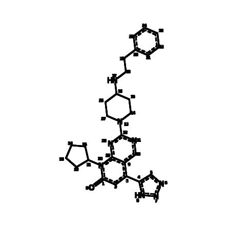 O=c1cc(-c2cnn[nH]2)c2cnc(N3CCC(NCCc4ccccc4)CC3)nc2n1C1CCCC1